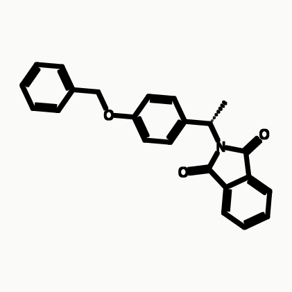 C[C@@H](c1ccc(OCc2ccccc2)cc1)N1C(=O)c2ccccc2C1=O